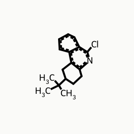 CC(C)(C)C1CCc2nc(Cl)c3ccccc3c2C1